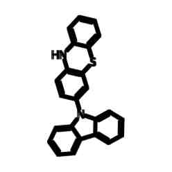 c1ccc2c(c1)Nc1ccc(-n3c4ccccc4c4ccccc43)cc1S2